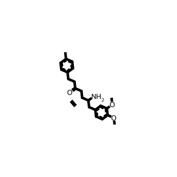 C=C.COc1ccc(CC(N)CCC(=O)CCc2ccc(C)cc2)cc1OC